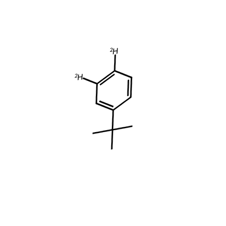 [2H]c1ccc(C(C)(C)C)cc1[2H]